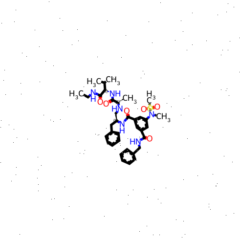 CCNC(=O)[C@@H](NC(=O)[C@H](C)NC[C@H](Cc1ccccc1)NC(=O)c1cc(C(=O)NCc2ccccc2)cc(N(C)S(C)(=O)=O)c1)C(C)C